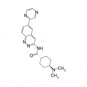 CN(C)[C@H]1CC[C@H](C(=O)Nc2cc3cc(-c4cnccn4)ccc3nn2)CC1